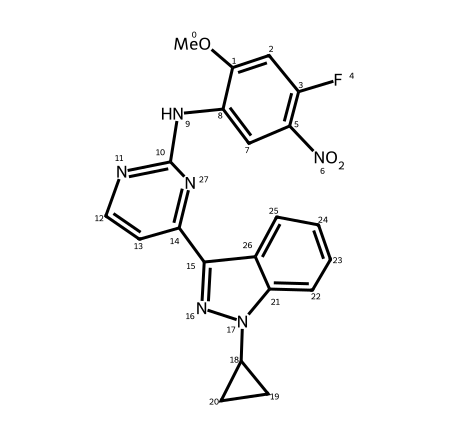 COc1cc(F)c([N+](=O)[O-])cc1Nc1nccc(-c2nn(C3CC3)c3ccccc23)n1